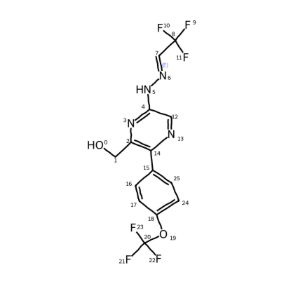 OCc1nc(N/N=C/C(F)(F)F)cnc1-c1ccc(OC(F)(F)F)cc1